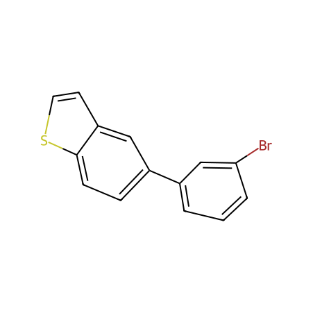 Brc1cccc(-c2ccc3sccc3c2)c1